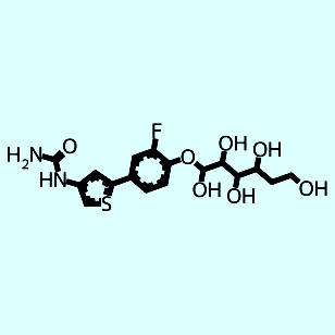 NC(=O)Nc1csc(-c2ccc(OC(O)C(O)C(O)C(O)CCO)c(F)c2)c1